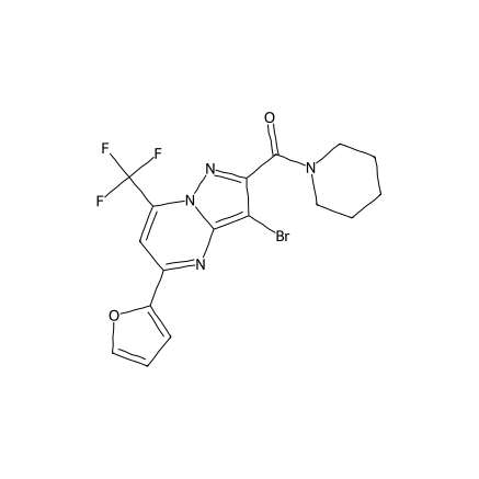 O=C(c1nn2c(C(F)(F)F)cc(-c3ccco3)nc2c1Br)N1CCCCC1